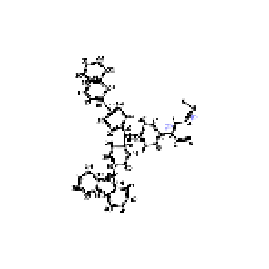 C=C/C(=C\C=C/C)c1ccc(N(c2ccc(-c3ccc4ccccc4c3)cc2)c2ccc(-n3c4ccccc4c4ccccc43)cc2)cc1